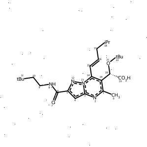 Cc1nc2cc(C(=O)NCCC(C)(C)C)nn2c(C=CCC(C)C)c1[C@H](OC(C)(C)C)C(=O)O